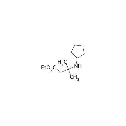 CCOC(=O)CC(C)(C)NC1CCCC1